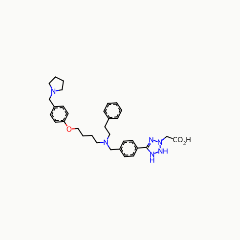 O=C(O)CN1N=C(c2ccc(CN(CCCCOc3ccc(CN4CCCC4)cc3)CCc3ccccc3)cc2)NN1